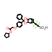 O=C(COc1ccc(C2(c3ccccc3)OC3C4CC(C3O2)C(C(F)(F)C(F)(F)S(=O)(=O)O)C4)cc1)OC1CCCC1